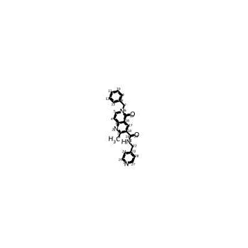 Cc1nc2ccn(Cc3ccccc3)c(=O)c2cc1C(=O)NCc1ccncc1